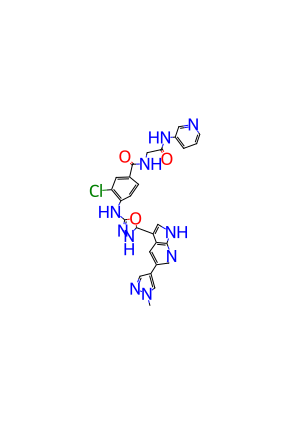 Cn1cc(-c2cnc3[nH]cc(C4NN=C(Nc5ccc(C(=O)NCC(=O)Nc6cccnc6)cc5Cl)O4)c3c2)cn1